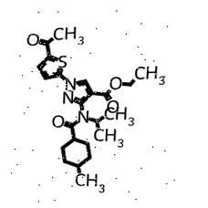 CCOC(=O)c1cn(-c2ccc(C(C)=O)s2)nc1N(C(=O)C1CCC(C)CC1)C(C)C